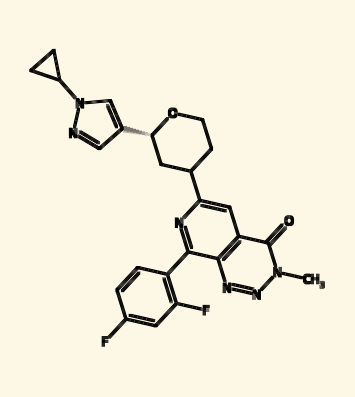 Cn1nnc2c(-c3ccc(F)cc3F)nc(C3CCO[C@@H](c4cnn(C5CC5)c4)C3)cc2c1=O